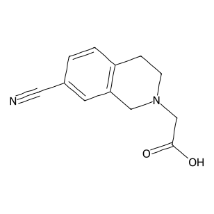 N#Cc1ccc2c(c1)CN(CC(=O)O)CC2